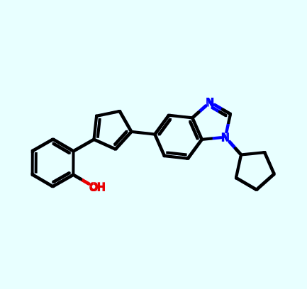 Oc1ccccc1C1=CCC(c2ccc3c(c2)ncn3C2CCCC2)=C1